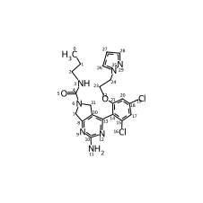 CCCNC(=O)N1Cc2nc(N)nc(-c3c(Cl)cc(Cl)cc3OCCn3cccn3)c2C1